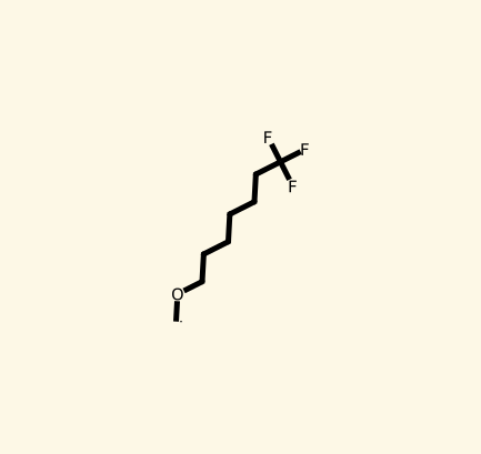 [CH2]OCCCCCCC(F)(F)F